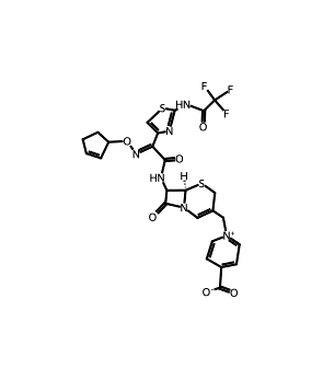 O=C(NC1C(=O)N2C=C(C[n+]3ccc(C(=O)[O-])cc3)CS[C@H]12)C(=NOC1C=CCC1)c1csc(NC(=O)C(F)(F)F)n1